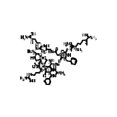 CC[C@H](C)[C@H](NC(=O)[C@H](CCCNC(=N)N)NC(=O)[C@H](CC(=O)O)NC(=O)[C@@H](NC(=O)[C@H](CCCNC(=N)N)NC(=O)CNC(=O)CNC(=O)[C@H](Cc1ccccc1)NC(=O)[C@H](CS)NC(=O)[C@@H](N)CCCNC(=N)N)[C@@H](C)CC)C(=O)N[C@@H](Cc1ccccc1)C(=O)N[C@H]([C]=O)CCCNC(=N)N